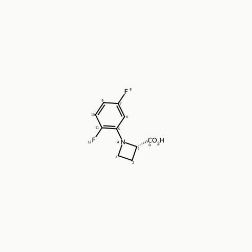 O=C(O)[C@@H]1CCN1c1cc(F)ccc1F